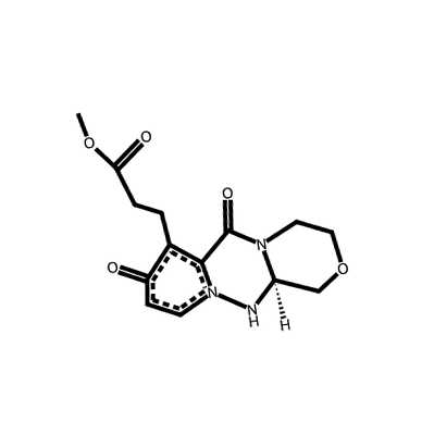 COC(=O)CCc1c2n(ccc1=O)N[C@@H]1COCCN1C2=O